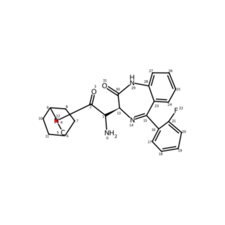 NC(C(=O)N1CC2CCC(CC2)C1)[C@@H]1N=C(c2ccccc2F)c2ccccc2NC1=O